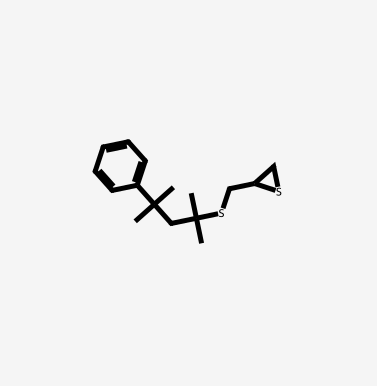 CC(C)(CC(C)(C)c1ccccc1)SCC1CS1